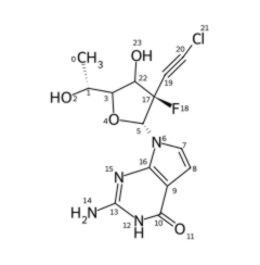 C[C@@H](O)C1O[C@@H](n2ccc3c(=O)[nH]c(N)nc32)[C@@](F)(C#CCl)C1O